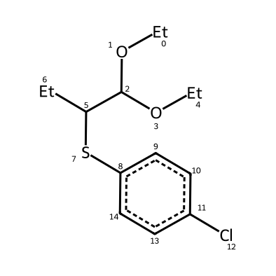 CCOC(OCC)C(CC)Sc1ccc(Cl)cc1